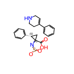 C1=C(c2ccccc2)CCNC1.O=C(O)[C@@]1(N=S(=O)=O)C[C@H]1c1ccccc1